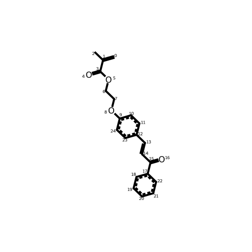 C=C(C)C(=O)OCCOc1ccc(C=CC(=O)c2ccccc2)cc1